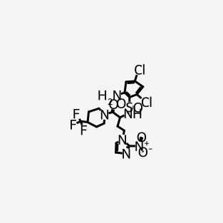 Nc1cc(Cl)cc(Cl)c1S(=O)(=O)NC(CCn1ccnc1[N+](=O)[O-])C(=O)N1CCC(C(F)(F)F)CC1